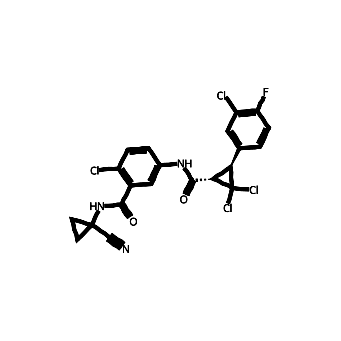 N#CC1(NC(=O)c2cc(NC(=O)[C@@H]3[C@@H](c4ccc(F)c(Cl)c4)C3(Cl)Cl)ccc2Cl)CC1